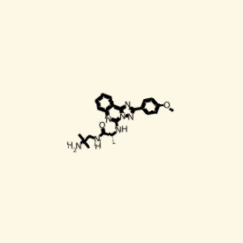 COc1ccc(-c2nc3c4ccccc4nc(N[C@H](C)C(=O)NCC(C)(C)N)n3n2)cc1